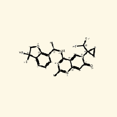 Cc1nc(N[C@H](C)c2cccc3c2OCC3(F)F)c2cn(C3(C(F)F)CC3)c(=O)cc2n1